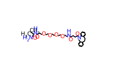 CC(C)[C@H](NC(=O)CCOCCOCCOCCOCCNC(=O)CCC(=O)N1Cc2ccccc2CCc2ccccc21)C(N)=O